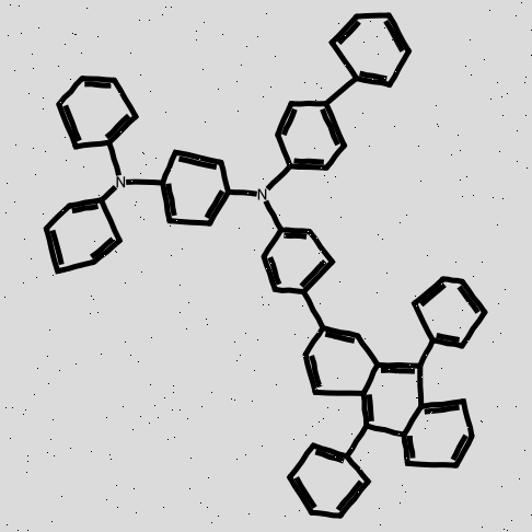 c1ccc(-c2ccc(N(c3ccc(-c4ccc5c(-c6ccccc6)c6ccccc6c(-c6ccccc6)c5c4)cc3)c3ccc(N(c4ccccc4)c4ccccc4)cc3)cc2)cc1